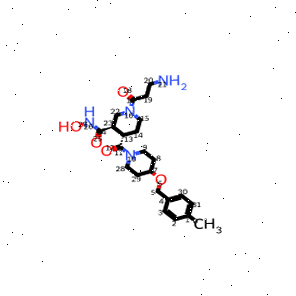 Cc1ccc(COC2CCN(C(=O)[C@H]3CCN(C(=O)CCN)C[C@@H]3C(=O)NO)CC2)cc1